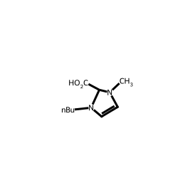 CCCCN1C=CN(C)C1C(=O)O